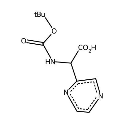 CC(C)(C)OC(=O)NC(C(=O)O)c1cnccn1